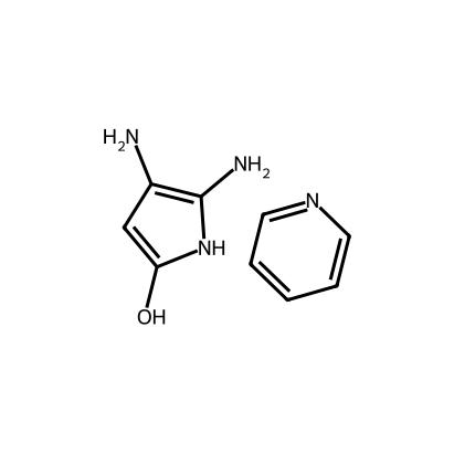 Nc1cc(O)[nH]c1N.c1ccncc1